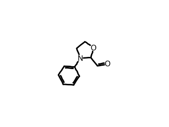 O=CC1OCCN1c1ccccc1